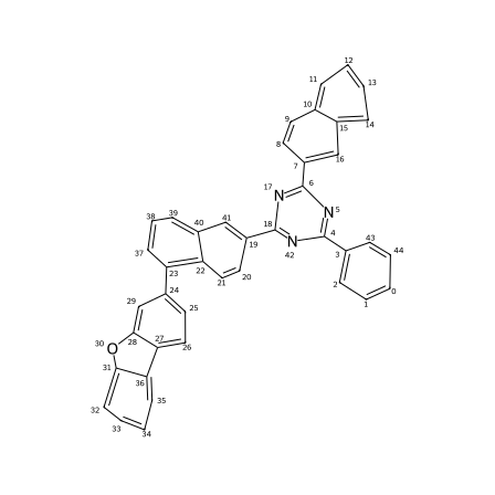 c1ccc(-c2nc(-c3ccc4ccccc4c3)nc(-c3ccc4c(-c5ccc6c(c5)oc5ccccc56)cccc4c3)n2)cc1